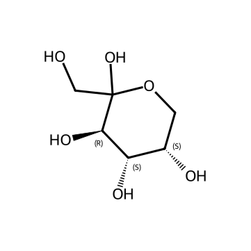 OCC1(O)OC[C@H](O)[C@H](O)[C@H]1O